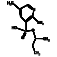 CCC(C)OP(=O)(O)c1cc(C)cnc1N